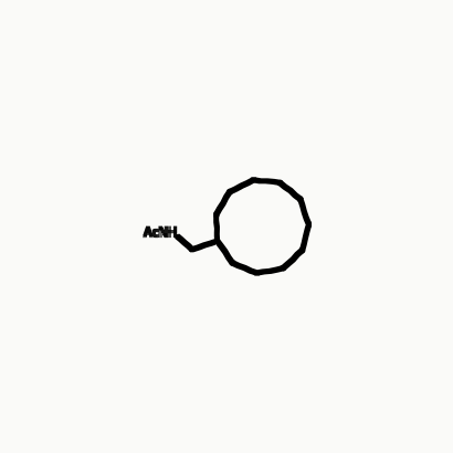 CC(=O)NCC1CCCCCCCCCC1